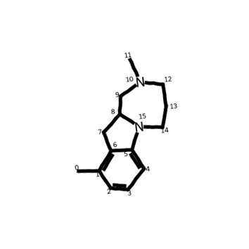 Cc1cccc2c1CC1CN(C)CCCN21